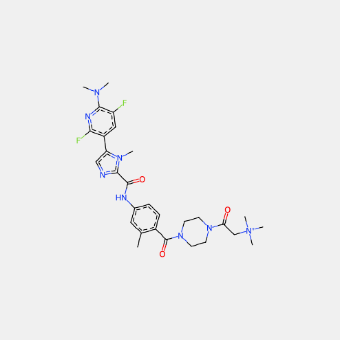 Cc1cc(NC(=O)c2ncc(-c3cc(F)c(N(C)C)nc3F)n2C)ccc1C(=O)N1CCN(C(=O)C[N+](C)(C)C)CC1